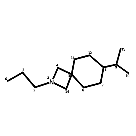 CCCN1CC2(CCC(C(C)C)CC2)C1